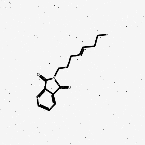 [CH2]CCC=CCCCN1C(=O)c2ccccc2C1=O